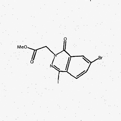 COC(=O)Cn1nc(I)c2ccc(Br)cc2c1=O